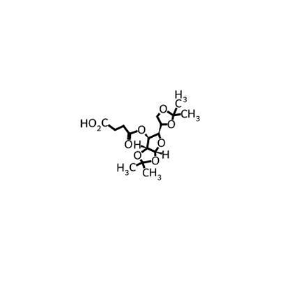 CC1(C)OCC([C@H]2O[C@@H]3OC(C)(C)O[C@@H]3[C@H]2OC(=O)CCC(=O)O)O1